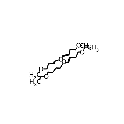 CCOCCC=COC=CCCOCC.COCCC=COC=CCCOC